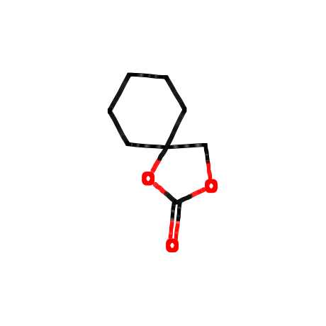 O=C1OCC2(CCCCC2)O1